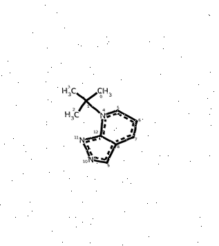 CC(C)(C)n1cccc2cnnc1-2